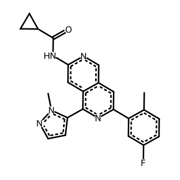 Cc1ccc(F)cc1-c1cc2cnc(NC(=O)C3CC3)cc2c(-c2ccnn2C)n1